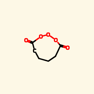 O=C1CCCCC(=O)OOO1